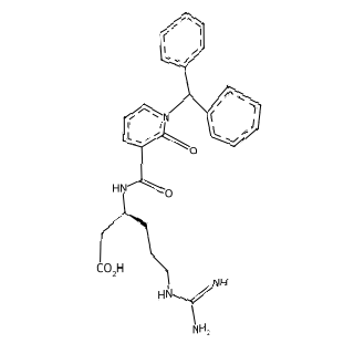 N=C(N)NCCC[C@@H](CC(=O)O)NC(=O)c1cccn(C(c2ccccc2)c2ccccc2)c1=O